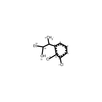 [CH2]C(c1cccc(Cl)c1Cl)C(O)CC